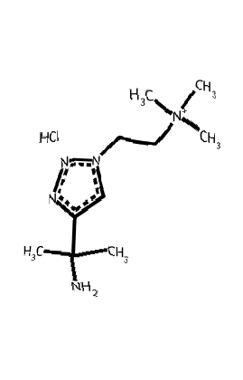 CC(C)(N)c1cn(CC[N+](C)(C)C)nn1.Cl